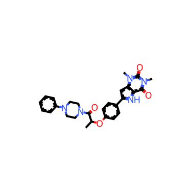 CC(Oc1ccc(-c2cc3c([nH]2)c(=O)n(C)c(=O)n3C)cc1)C(=O)N1CCN(c2ccccc2)CC1